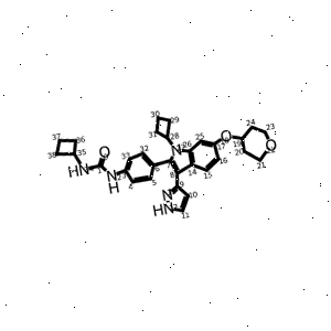 O=C(Nc1ccc(-c2c(-c3cc[nH]n3)c3ccc(OC4CCOCC4)cc3n2C2CCC2)cc1)NC1CCC1